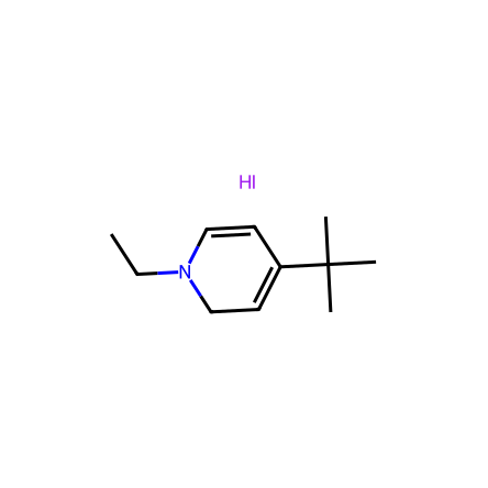 CCN1C=CC(C(C)(C)C)=CC1.I